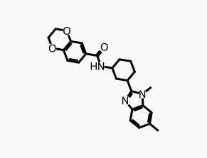 Cc1ccc2nc(C3CCCC(NC(=O)c4ccc5c(c4)OCCO5)C3)n(C)c2c1